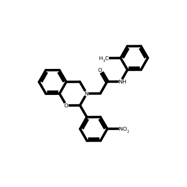 Cc1ccccc1NC(=O)CN1Cc2ccccc2OC1c1cccc([N+](=O)[O-])c1